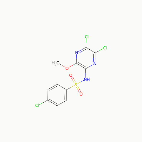 COc1nc(Cl)c(Cl)nc1NS(=O)(=O)c1ccc(Cl)cc1